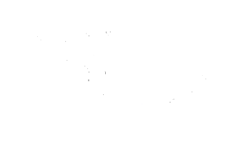 CO/N=C(\C(=O)N[C@@H]1C(=O)N2C(C(=O)[O-])=C(/C=C/C[N+]34CCC(C(N)=O)(CC3)CC4)CS[C@@H]12)c1nsc(N)n1